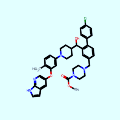 CC(C)(C)OC(=O)N1CCN(Cc2ccc(-c3ccc(Cl)cc3)c(C(O)C3CCN(c4ccc(C(=O)O)c(Oc5cnc6[nH]ccc6c5)c4)CC3)c2)CC1